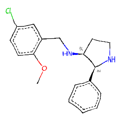 COc1ccc(Cl)cc1CN[C@H]1CCN[C@H]1c1ccccc1